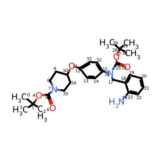 CC(C)(C)OC(=O)N1CCC(Oc2ccc(N(Cc3ccccc3N)C(=O)OC(C)(C)C)cc2)CC1